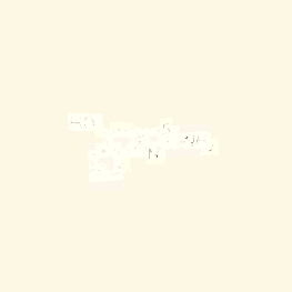 Nc1nc2c(cc(O)c3ccccc32)s1